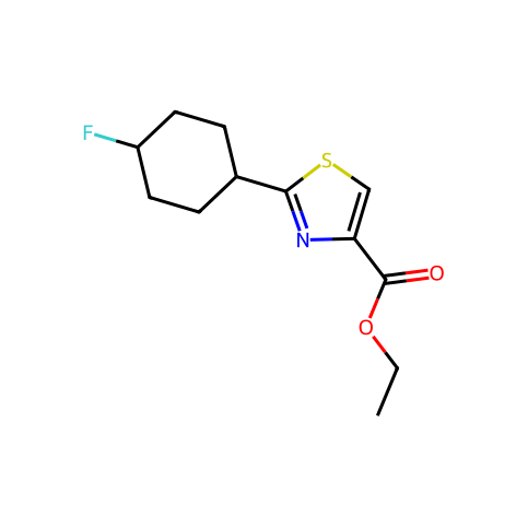 CCOC(=O)c1csc(C2CCC(F)CC2)n1